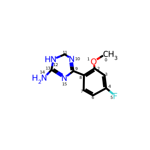 COc1cc(F)ccc1C1=NCNC(N)=N1